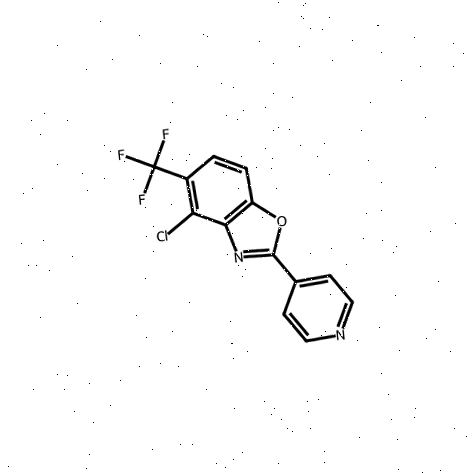 FC(F)(F)c1ccc2oc(-c3ccncc3)nc2c1Cl